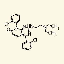 CCN(CC)CCNc1nc(-c2ccccc2Cl)c2ccc(=O)n(-c3ccccc3Cl)c2n1